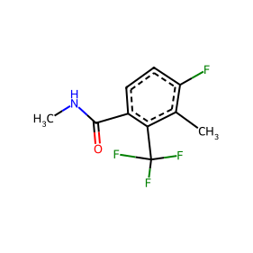 CNC(=O)c1ccc(F)c(C)c1C(F)(F)F